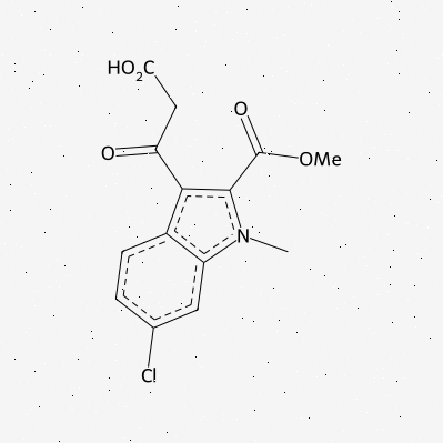 COC(=O)c1c(C(=O)CC(=O)O)c2ccc(Cl)cc2n1C